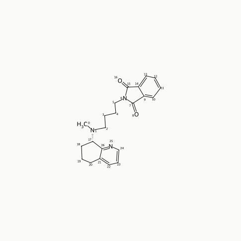 CN(CCCCN1C(=O)c2ccccc2C1=O)[C@H]1CCCc2cccnc21